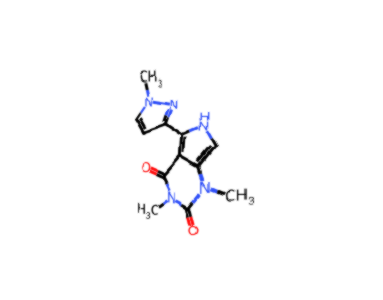 Cn1ccc(-c2[nH]cc3c2c(=O)n(C)c(=O)n3C)n1